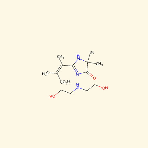 C/C(C(=O)O)=C(\C)C1=NC(=O)C(C)(C(C)C)N1.OCCNCCO